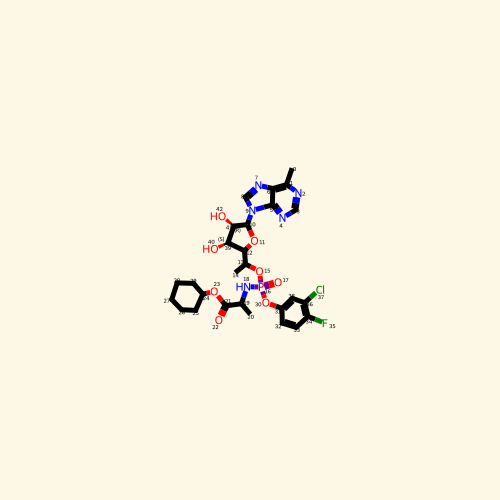 Cc1ncnc2c1ncn2C1OC(C(C)OP(=O)(NC(C)C(=O)OC2CCCCC2)Oc2ccc(F)c(Cl)c2)[C@@H](O)[C@H]1O